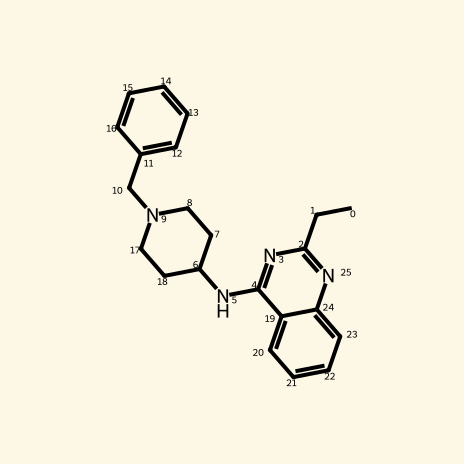 CCc1nc(NC2CCN(Cc3ccccc3)CC2)c2ccccc2n1